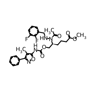 COC(=O)CCC[C@@H](COC(=O)Nc1onc(-c2ccccc2)c1C)N(NCc1cccc(F)c1F)C(C)=O